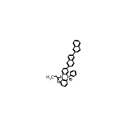 CCc1nc2cccc3c2n1-c1ccc(-c2ccc4cc(-c5ccc6ccccc6c5)ccc4c2)cc1P3(=O)c1ccccc1